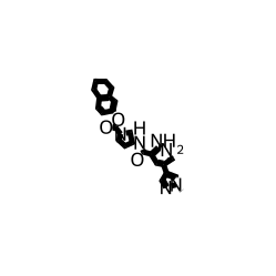 Cn1cc(-c2cnc(N)c(C(=O)N[C@@H]3CCN(C(=O)Oc4ccc5c(c4)CCCC5)C3)c2)cn1